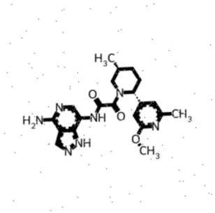 COc1cc([C@H]2CC[C@H](C)CN2C(=O)C(=O)Nc2cnc(N)c3cn[nH]c23)cc(C)n1